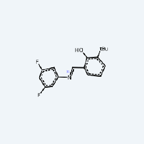 CC(C)(C)c1cccc(/C=N/c2cc(F)cc(F)c2)c1O